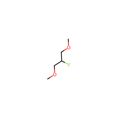 COCC(F)COC